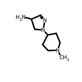 CN1CCC(N2CC(N)C=N2)CC1